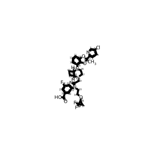 C[C@]1(c2ccc(Cl)cn2)Oc2cccc(N3CCN(Cc4nc5c(F)cc(C(=O)O)cc5n4CCOC4CC4(F)F)[C@@H]4CC[C@@H]43)c2O1